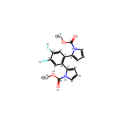 CC(C)(C)OC(=O)n1cccc1-c1cc(F)c(F)cc1-c1cccn1C(=O)OC(C)(C)C